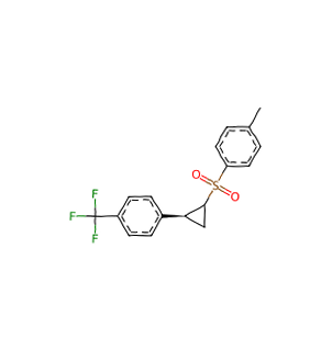 Cc1ccc(S(=O)(=O)C2C[C@H]2c2ccc(C(F)(F)F)cc2)cc1